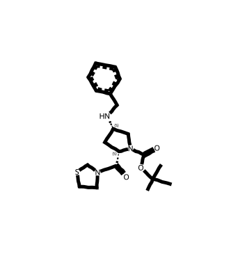 CC(C)(C)OC(=O)N1C[C@@H](NCc2ccccc2)C[C@H]1C(=O)N1CCSC1